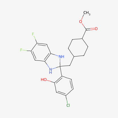 COC(=O)C1CCC(CC2(c3ccc(Cl)cc3O)Nc3cc(F)c(F)cc3N2)CC1